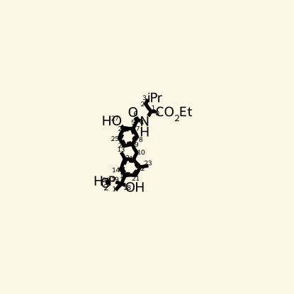 CCOC(=O)C(CC(C)C)NC(=O)c1cc(Cc2c(C)cc(C(C)(O)[PH2]=O)cc2C)ccc1O